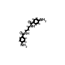 Nc1ccc(C(=O)NCCCNC(=O)c2ccc(N)cc2)cc1